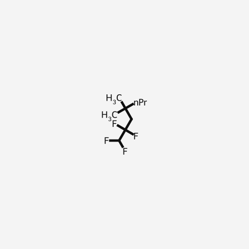 CCCC(C)(C)CC(F)(F)C(F)F